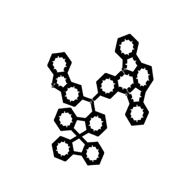 c1ccc2c(c1)-c1ccccc1C21c2ccccc2-c2c(N(c3ccc4sc5ccccc5c4c3)c3ccc4c(c3)n3c5ccccc5c5ccc6c7ccccc7n4c6c53)cccc21